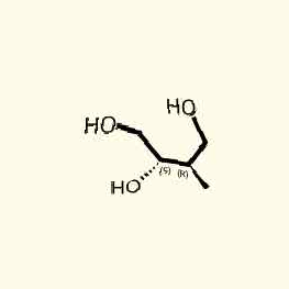 C[C@H](CO)[C@H](O)CO